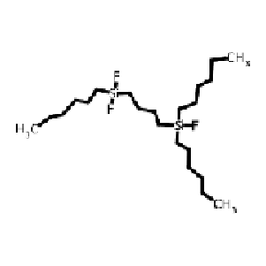 CCCCCC[Si](F)(F)CCCC[Si](F)(CCCCCC)CCCCCC